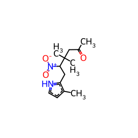 CC(=O)CC(C)(C)C(Cc1[nH]ccc1C)[N+](=O)[O-]